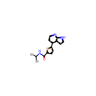 CCC(CC)NC(=O)c1ccc(-c2ccnc3[nH]ccc23)s1